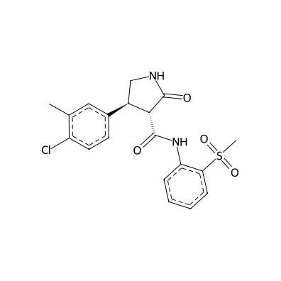 Cc1cc([C@H]2CNC(=O)[C@@H]2C(=O)Nc2ccccc2S(C)(=O)=O)ccc1Cl